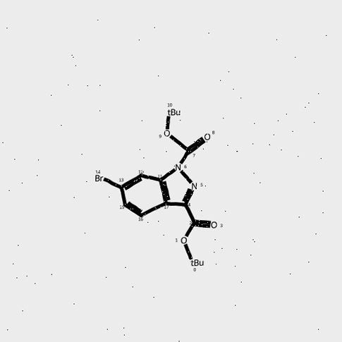 CC(C)(C)OC(=O)c1nn(C(=O)OC(C)(C)C)c2cc(Br)ccc12